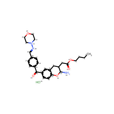 CCCCOC(=O)CC1Cc2cc(C(=O)c3ccc(C=NN4CCOCC4)cc3)ccc2OC1N.Cl